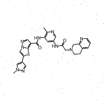 Cc1ncc(NC(=O)CN2CCc3cccnc3C2)cc1NC(=O)c1cnn2cc(-c3cnn(C)c3)sc12